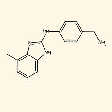 Cc1cc(C)c2nc(Nc3ccc(CN)cc3)[nH]c2c1